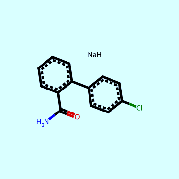 NC(=O)c1ccccc1-c1ccc(Cl)cc1.[NaH]